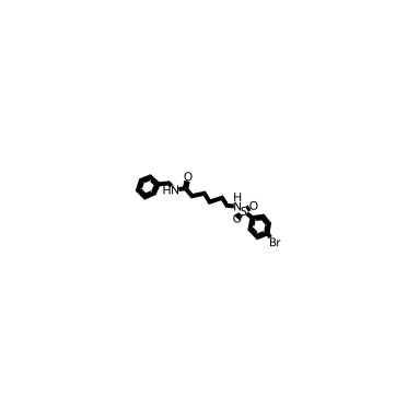 O=C(CCCCCNS(=O)(=O)c1ccc(Br)cc1)NCc1ccccc1